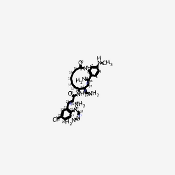 CNc1ccc2c(c1)NC(=O)CCCCCC(NC(=O)/C=C/c1cc(Cl)ccc1N(N)/C=N\N)C(=C/N)/C=C/2N